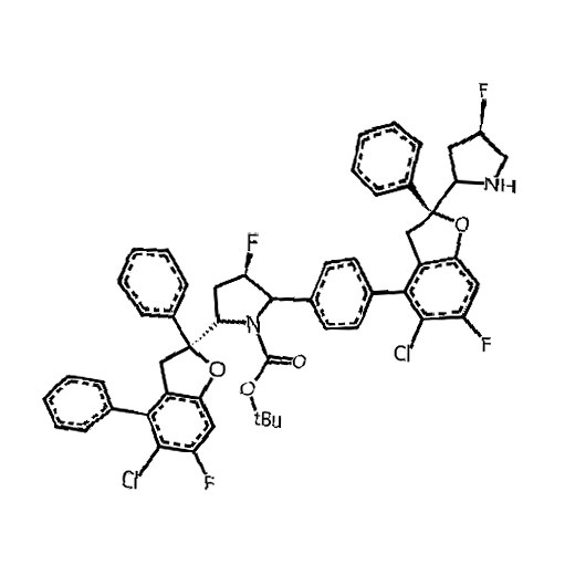 CC(C)(C)OC(=O)N1C(c2ccc(-c3c(Cl)c(F)cc4c3C[C@](c3ccccc3)(C3C[C@@H](F)CN3)O4)cc2)[C@H](F)CC1[C@@]1(c2ccccc2)Cc2c(cc(F)c(Cl)c2-c2ccccc2)O1